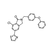 O=C1c2c(Cl)cc(-c3nccs3)cc2CN1Cc1ccc(Oc2ccccc2)cc1